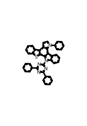 c1ccc(-c2nc(-c3ccccc3)nc(-n3c4ccccc4c4c5c(ccn5-c5ccccc5)c5c6ccccc6sc5c43)n2)cc1